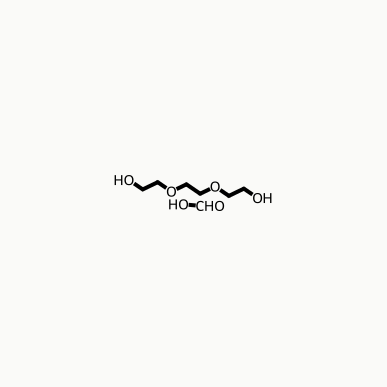 O=CO.OCCOCCOCCO